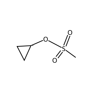 CS(=O)(=O)O[C]1CC1